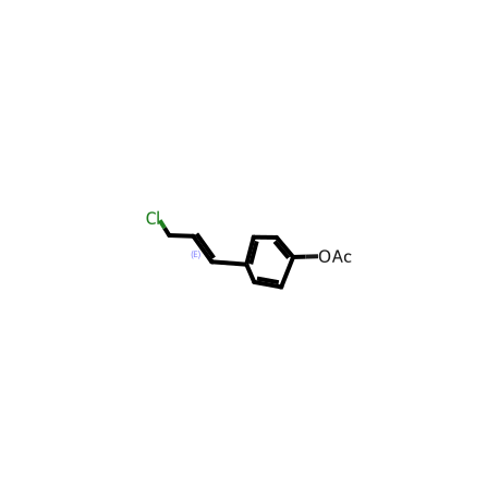 CC(=O)Oc1ccc(/C=C/CCl)cc1